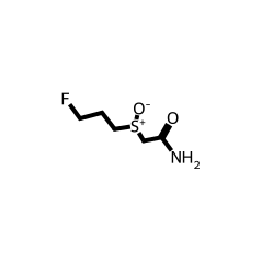 NC(=O)C[S+]([O-])CCCF